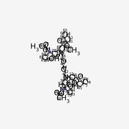 CCOc1ccc2ccccc2c1C(=O)c1ccc2c(c1)c1cc(/C(=N/OC(C)=O)c3ccccc3O)ccc1n2CCOCCOCCn1c2ccc(C(=O)c3c(OCC)ccc4ccccc34)cc2c2cc(/C(=N/OC(C)=O)c3ccccc3O)ccc21